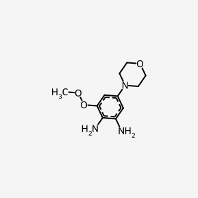 COOc1cc(N2CCOCC2)cc(N)c1N